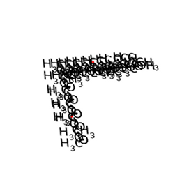 CCOC(C)=O.CCOC(C)=O.CCOC(C)=O.CCOC(C)=O.CCOC(C)=O.CCOC(C)=O.CCOC(C)=O.CCOC(C)=O.CCOC(C)=O.CCOC(C)=O.CCOC(C)=O.CCOC(C)=O.CCOC(C)=O.CCOC(C)=O.CCOC(C)=O.CO